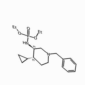 CCOP(=O)(N[C@H]1CN(Cc2ccccc2)CC[C@@H]1C1CC1)OCC